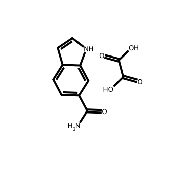 NC(=O)c1ccc2cc[nH]c2c1.O=C(O)C(=O)O